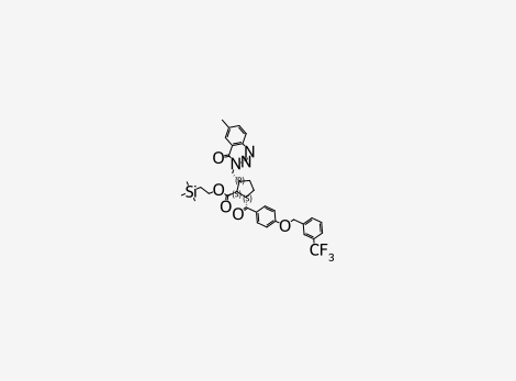 Cc1ccc2nnn(C[C@@H]3CC[C@H](C(=O)c4ccc(OCc5cccc(C(F)(F)F)c5)cc4)[C@H]3C(=O)OCC[Si](C)(C)C)c(=O)c2c1